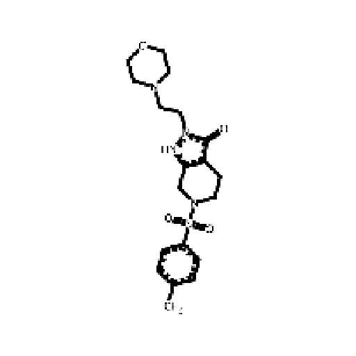 Cc1ccc(S(=O)(=O)N2CCc3c([nH]n(CCN4CCOCC4)c3=O)C2)cc1